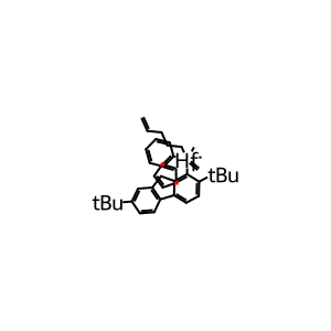 C=CCC[CH2][Hf](=[CH2])([CH3])([CH3])([C]1=CC=CC1)([c]1ccccc1)[c]1c(C(C)(C)C)ccc2c1Cc1cc(C(C)(C)C)ccc1-2